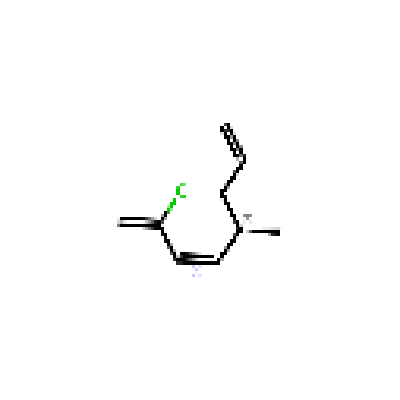 C=CC[C@@H](C)/C=C\C(=C)Cl